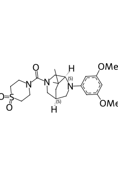 COc1cc(OC)cc(N2C[C@H]3CN(C(=O)N4CCS(=O)(=O)CC4)C[C@@H]2C(C)(C)C3)c1